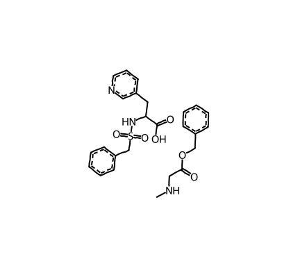 CNCC(=O)OCc1ccccc1.O=C(O)C(Cc1cccnc1)NS(=O)(=O)Cc1ccccc1